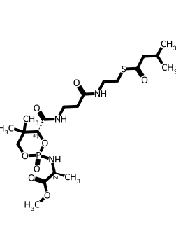 COC(=O)[C@H](C)NP1(=O)OCC(C)(C)[C@H](C(=O)NCCC(=O)NCCSC(=O)CC(C)C)O1